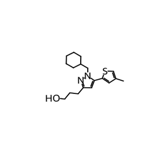 Cc1csc(-c2cc(CCCO)nn2CC2CCCCC2)c1